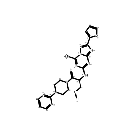 CCOC[C@H](Nc1nc(N)n2nc(-c3ccco3)nc2n1)C(=O)N1CCN(c2ncccn2)CC1